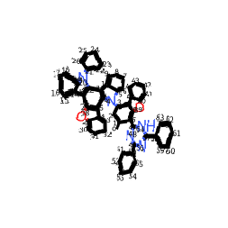 Cc1cc(-n2c3ccccc3c3c4c(c5ccccc5n4-c4ccccc4)c4oc5ccccc5c4c32)c2c(oc3ccccc32)c1C1N=C(c2ccccc2)N=C(c2ccccc2)N1